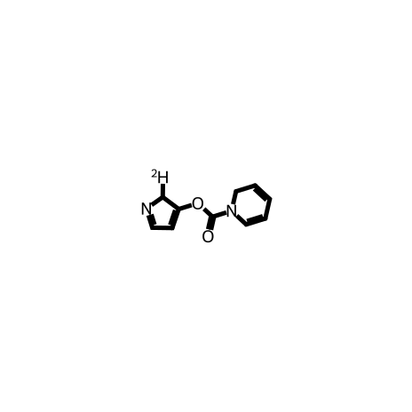 [2H]C1N=CC=C1OC(=O)N1C=CC=CC1